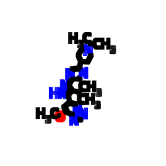 COc1cc(-c2[nH]nc(-c3cnc(C4CCN(C(C)C)CC4)cn3)c2C(C)C)cn2ncnc12